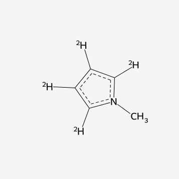 [2H]c1c([2H])c([2H])n(C)c1[2H]